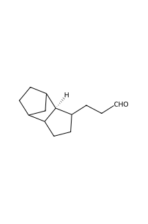 O=CCCC1CCC2C3CCC(C3)[C@@H]12